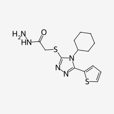 NNC(=O)CSc1nnc(-c2cccs2)n1C1CCCCC1